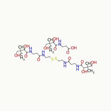 CC(C)(CO)C(O)C(=O)NCCC(=O)NCCSSCCNC(=O)CCNC(=O)C(O)C(C)(C)CO.CC(C)(CO)[C@@H](O)C(=O)NCCC(=O)O